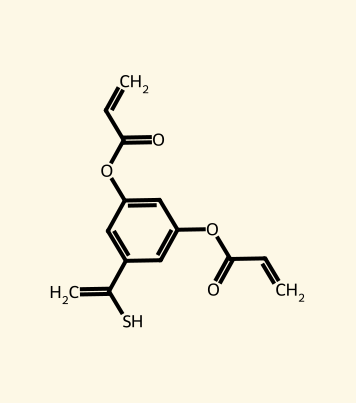 C=CC(=O)Oc1cc(OC(=O)C=C)cc(C(=C)S)c1